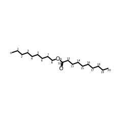 CCCCCCCCCOC(=O)CCCCCCCCC